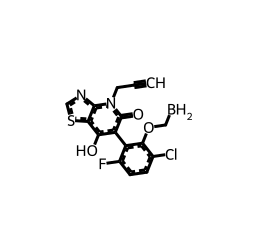 BCOc1c(Cl)ccc(F)c1-c1c(O)c2scnc2n(CC#C)c1=O